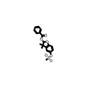 CC1(C)c2cc(OS(C)(=O)=O)ccc2OC1OC(=O)c1ccccc1